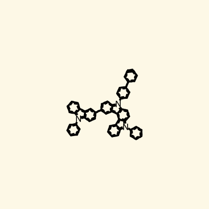 c1ccc(-c2ccc(-n3c4ccc(-c5ccc6c(c5)c5ccccc5n6-c5ccccc5)cc4c4c5c6ccccc6n(-c6ccccc6)c5ccc43)cc2)cc#1